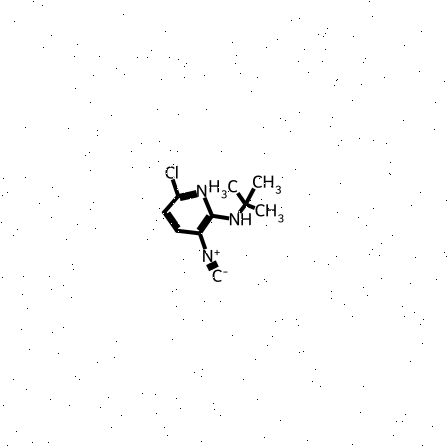 [C-]#[N+]c1ccc(Cl)nc1NC(C)(C)C